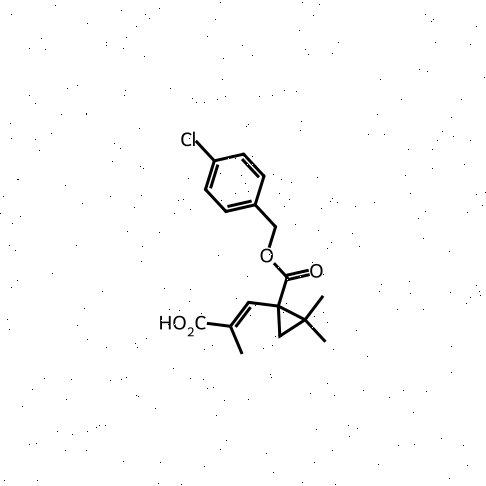 CC(=CC1(C(=O)OCc2ccc(Cl)cc2)CC1(C)C)C(=O)O